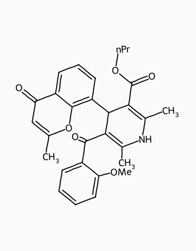 CCCOC(=O)C1=C(C)NC(C)=C(C(=O)c2ccccc2OC)C1c1cccc2c(=O)cc(C)oc12